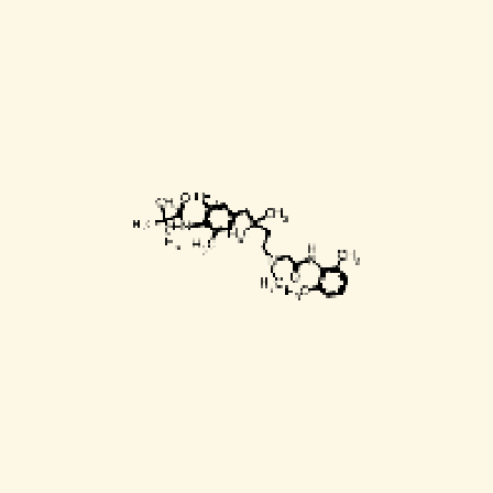 CCN(CCC(C)(C)Cc1cc(C)c(NC(=O)C(C)(C)C)c(C)c1)CC(=O)Nc1c(C)cccc1C